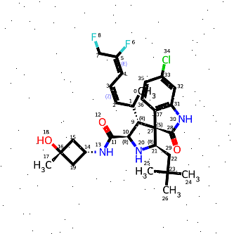 CC(/C=C\C=C(\F)CF)[C@H]1[C@H](C(=O)N[C@H]2C[C@@](C)(O)C2)N[C@H](CC(C)(C)C)[C@]12C(=O)Nc1cc(Cl)ccc12